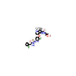 COc1cc2nccc(Oc3ccc(NC(=S)NC(=O)Cc4ccccc4F)cc3F)c2cc1C(=O)NCC(C)(C)O